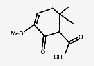 COC1=CCC(C)(C)C(C(=O)C=O)C1=O